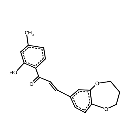 Cc1ccc(C(=O)C=Cc2ccc3c(c2)OCCCO3)c(O)c1